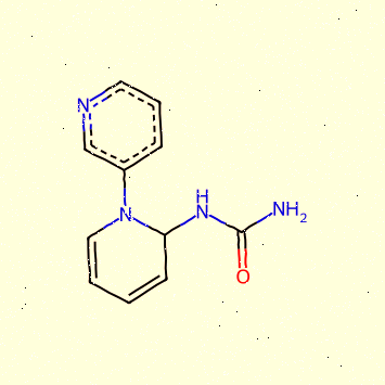 NC(=O)NC1C=CC=CN1c1cccnc1